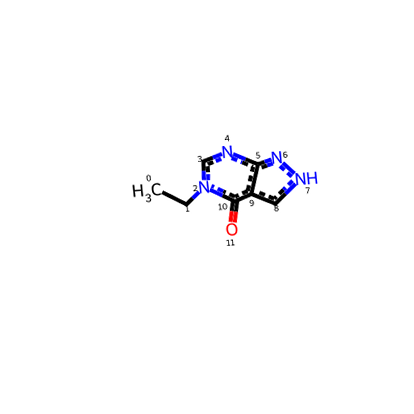 CCn1cnc2n[nH]cc2c1=O